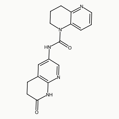 O=C1CCc2cc(NC(=O)N3CCCc4ncccc43)cnc2N1